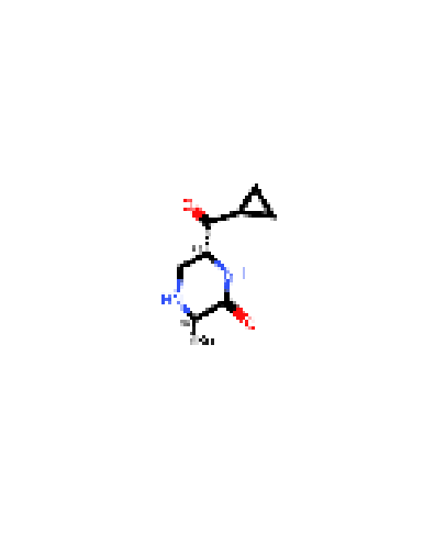 CCCC[C@H]1NC[C@H](C(=O)C2CC2)NC1=O